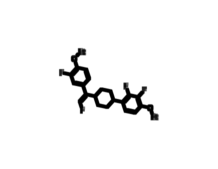 CCOc1ccc(C(=CF)C2CCC(c3ccc(OCC)c(F)c3F)CC2)cc1F